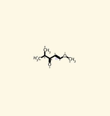 CO/C=C/C(=O)C(C)C